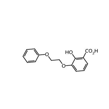 O=C(O)c1cccc(OCCOc2ccccc2)c1O